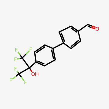 O=Cc1ccc(-c2ccc(C(O)(C(F)(F)F)C(F)(F)F)cc2)cc1